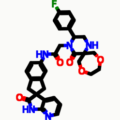 O=C(CN1C(=O)C2(COCCOC2)NCC1c1ccc(F)cc1)Nc1ccc2c(c1)CC1(C2)C(=O)Nc2ncccc21